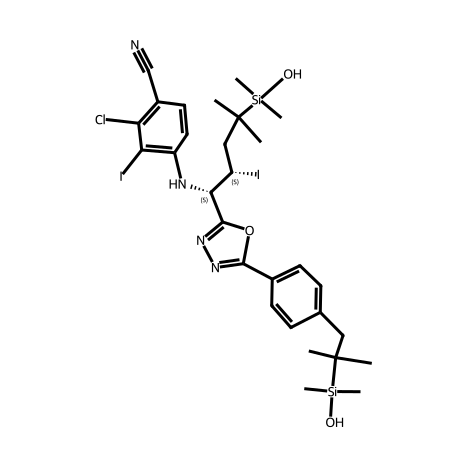 CC(C)(Cc1ccc(-c2nnc([C@H](Nc3ccc(C#N)c(Cl)c3I)[C@@H](I)CC(C)(C)[Si](C)(C)O)o2)cc1)[Si](C)(C)O